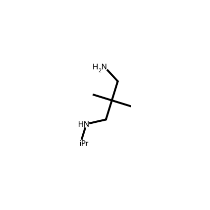 CC(C)NCC(C)(C)CN